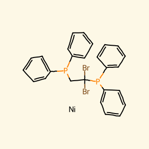 BrC(Br)(CP(c1ccccc1)c1ccccc1)P(c1ccccc1)c1ccccc1.[Ni]